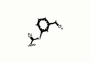 CNC(=O)Oc1cccc(CCl)c1